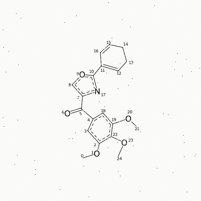 COc1cc(C(=O)c2coc(C3=CCCC=C3)n2)cc(OC)c1OC